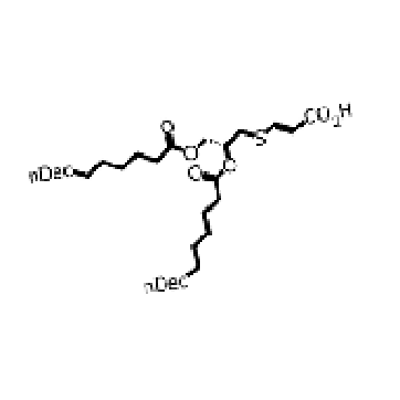 CCCCCCCCCCCCCCCC(=O)OC[C@H](CS/C=C/C(=O)O)OC(=O)CCCCCCCCCCCCCCC